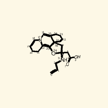 C=CCNC1(CC(=O)O)CC23CCCCC2=CN2C=CCCC2=C3O1